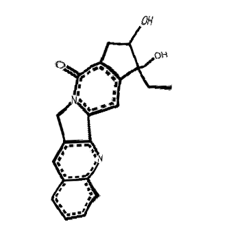 CCC1(O)c2cc3n(c(=O)c2CC1O)Cc1cc2ccccc2nc1-3